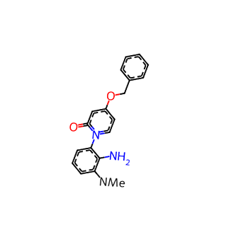 CNc1cccc(-n2ccc(OCc3ccccc3)cc2=O)c1N